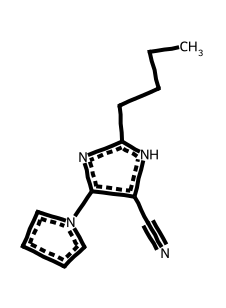 CCCCc1nc(-n2cccc2)c(C#N)[nH]1